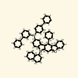 c1ccc(-c2ccc(N(c3cccc(-c4ccccc4)c3)c3ccc4c(c3)c3c(-c5ccccc5)c5c(cc3n4-c3cccc4ccccc34)oc3ccccc35)cc2)cc1